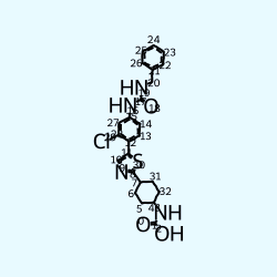 O=C(O)NC1CCC(c2ncc(-c3ccc(NC(=O)NCc4ccccc4)cc3Cl)s2)CC1